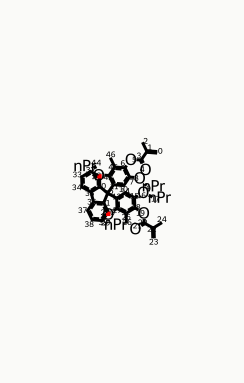 C=C(C)C(=O)Oc1c(OCCC)cc(C2(c3cc(OCCC)c(OC(=O)C(=C)C)c(C)c3OCCC)c3ccccc3-c3ccccc32)c(OCCC)c1C